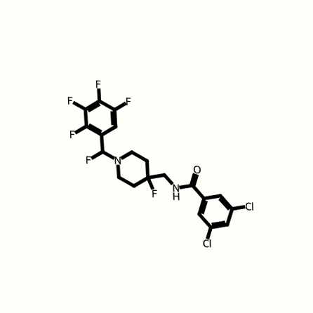 O=C(NCC1(F)CCN(C(F)c2cc(F)c(F)c(F)c2F)CC1)c1cc(Cl)cc(Cl)c1